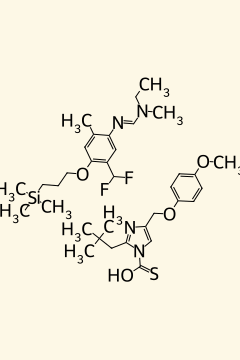 CCN(C)C=Nc1cc(C(F)F)c(OCCC[Si](C)(C)C)cc1C.COc1ccc(OCc2cn(C(O)=S)c(CC(C)(C)C)n2)cc1